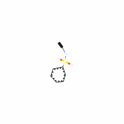 C#CNS(=O)(=O)c1ccccc1